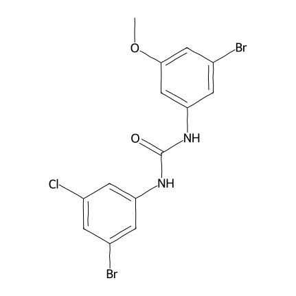 COc1cc(Br)cc(NC(=O)Nc2cc(Cl)cc(Br)c2)c1